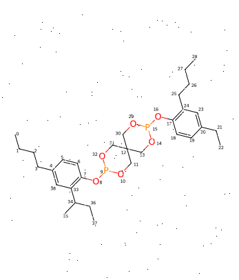 CCCCc1ccc(OP2OCC3(COP(Oc4ccc(CC)cc4CCCC)OC3)CO2)c(C(C)CC)c1